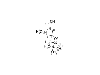 CN1CC(O[Si](C)(C)C(C)(C)C)C[C@H]1CO